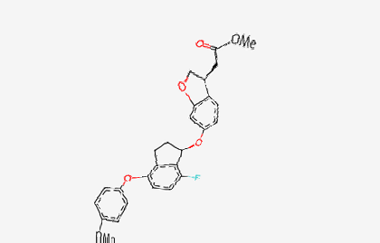 COC(=O)C[C@@H]1COc2cc(O[C@@H]3CCc4c(Oc5ccc(OC)cc5)ccc(F)c43)ccc21